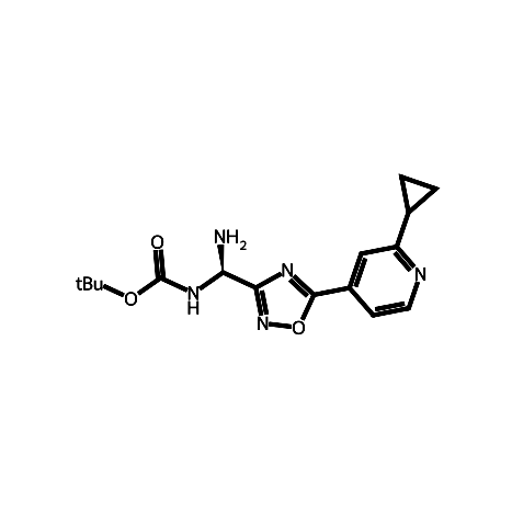 CC(C)(C)OC(=O)N[C@@H](N)c1noc(-c2ccnc(C3CC3)c2)n1